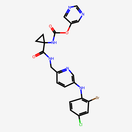 O=C(NC1(C(=O)NCc2ccc(Nc3ccc(Cl)cc3Br)cn2)CC1)Oc1cncnc1